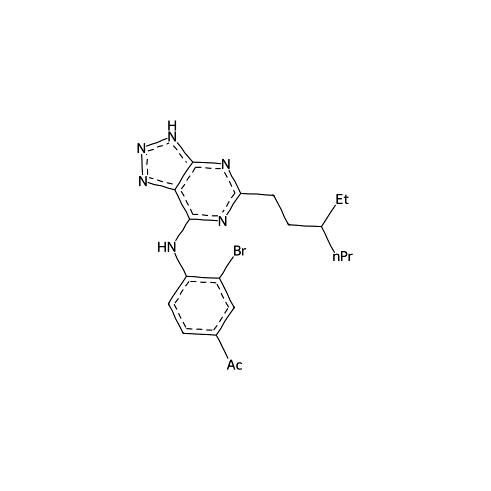 CCCC(CC)CCc1nc(Nc2ccc(C(C)=O)cc2Br)c2nn[nH]c2n1